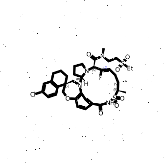 CCS(=O)(=O)CCN(C)C(=O)[C@H]1/C(F)=C/C[C@H](C)[C@@H](C)S(=O)(=O)NC(=O)c2ccc3c(c2)N(C[C@@]2(CCCc4cc(Cl)ccc42)CO3)[C@@H]2CCCN12